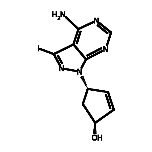 Nc1ncnc2c1c(I)nn2[C@@H]1C=C[C@@H](O)C1